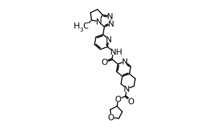 C[C@H]1CCc2nnc(-c3cccc(NC(=O)c4cc5c(cn4)CCN(C(=O)OC4CCOC4)C5)n3)n21